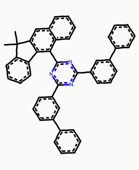 CC1(C)c2ccccc2-c2c1cc1ccccc1c2-c1nc(-c2cccc(-c3ccccc3)c2)nc(-c2cccc(-c3ccccc3)c2)n1